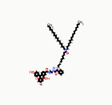 CCCCCCCCCCCCCCCCCCN(CCCCCCCCCCCCCCCCCC)C(=O)CCCCCCCCCCSC(C(=O)NCCNC(=O)c1ccc(-c2c3ccc(=O)cc-3oc3cc(O)ccc23)c(C(=O)O)c1)c1ccccc1